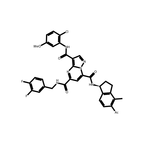 COc1ccc(Cl)c(NC(=O)c2cnn3c(C(=O)N[C@H]4CCc5c4ccc(C(C)=O)c5C)cc(C(=O)NCc4ccc(F)c(F)c4)nc23)c1